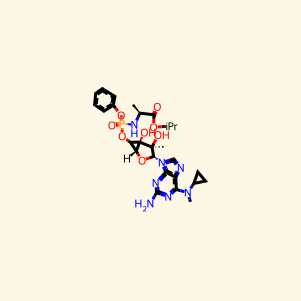 CC(C)OC(=O)[C@H](C)N[P@@](=O)(Oc1ccccc1)OC1[C@H]2O[C@@H](n3cnc4c(N(C)C5CC5)nc(N)nc43)[C@](C)(O)[C@@]12O